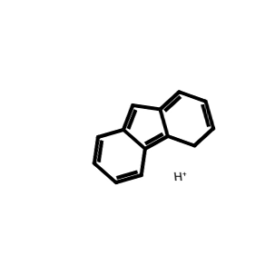 C1=CCC2=c3ccccc3=CC2=C1.[H+]